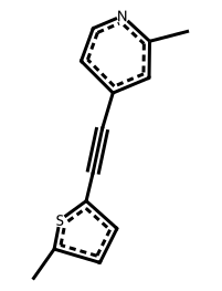 Cc1cc(C#Cc2ccc(C)s2)ccn1